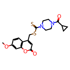 COc1ccc2c(CSC(=S)N3CCN(C(=O)C4CC4)CC3)cc(=O)oc2c1